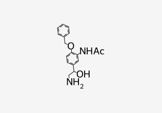 CC(=O)Nc1cc(C(O)CN)ccc1OCc1ccccc1